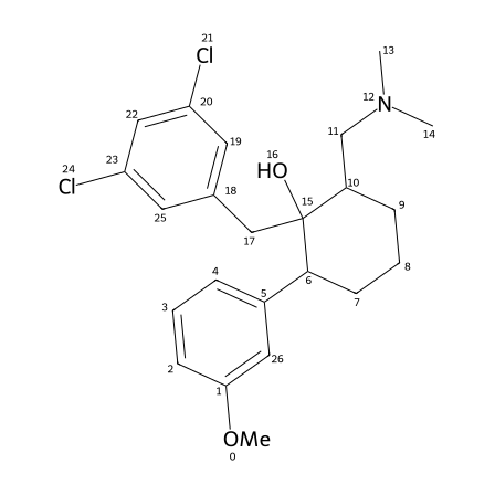 COc1cccc(C2CCCC(CN(C)C)C2(O)Cc2cc(Cl)cc(Cl)c2)c1